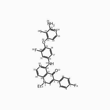 CCn1cc(-c2ccc(F)cc2)c(=O)c2c(Nc3ccc(Oc4ccnc(N)c4I)c(F)c3)nccc21